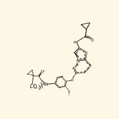 O=C(Nc1cn2nc(Oc3ccc(NC(=O)C4(C(=O)O)CC4)cc3F)ccc2n1)C1CC1